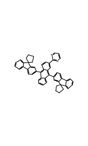 c1cnc(-c2ccc3c(-c4ccc5c(c4)C4(CCCC4)c4ccccc4-5)c4ccccc4c(-c4ccc5c(c4)C4(CCCC4)c4ccccc4-5)c3c2)nc1